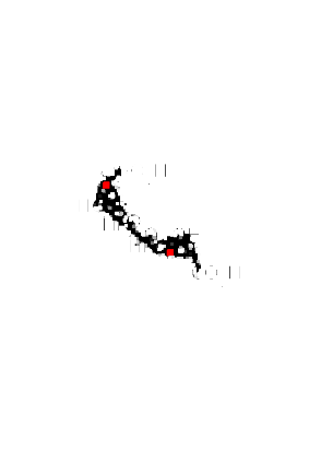 C[C@H](CCC(=O)O)[C@H]1CC[C@H]2[C@@H]3[C@@H](O)CC4CC(NC(=O)CCCC(=O)NC5CC[C@@]6(C)C(C5)C[C@H](O)[C@H]5[C@@H]7CC[C@H]([C@H](C)CCC(=O)O)[C@@]7(C)CC[C@@H]56)CC[C@]4(C)[C@H]3CC[C@]12C